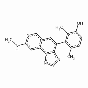 CNc1cc2c(cn1)cc(-c1c(C)ccc(O)c1C)c1ncnn12